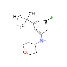 CC(C)(C)c1cc(F)cc(NC2CCOCC2)c1